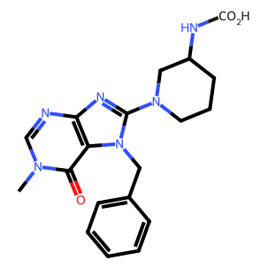 Cn1cnc2nc(N3CCCC(NC(=O)O)C3)n(Cc3ccccc3)c2c1=O